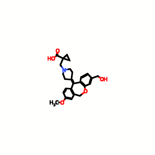 COc1ccc2c(c1)COc1cc(CO)ccc1C2=C1CCN(CC2(C(=O)O)CC2)CC1